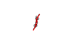 CCCCCCCC[C@H](F)C(=O)O[C@H]1CC[C@H](COc2ccc([C@H]3CC[C@H](OC(=O)[C@@H](F)CCCCCCCC)CC3)cc2)CC1